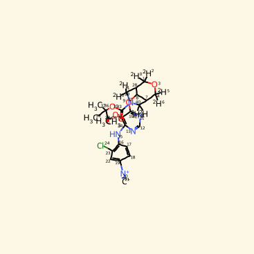 [2H]C1([2H])OC([2H])([2H])C2C(Oc3ncnc(Nc4ccc([N+]#[C-])cc4Cl)c3OC)C1C([2H])([2H])N(C(=O)OC(C)(C)C)C2([2H])[2H]